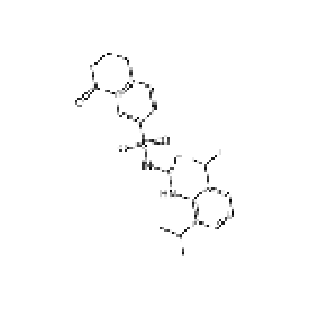 CC(C)c1cccc(C(C)C)c1NC(=O)NS(=O)(=O)c1ccc2c(c1)C(=O)CCC2